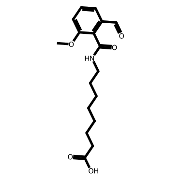 COc1cccc(C=O)c1C(=O)NCCCCCCCC(=O)O